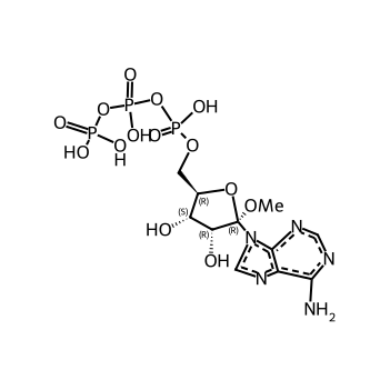 CO[C@@]1(n2cnc3c(N)ncnc32)O[C@H](COP(=O)(O)OP(=O)(O)OP(=O)(O)O)[C@@H](O)[C@H]1O